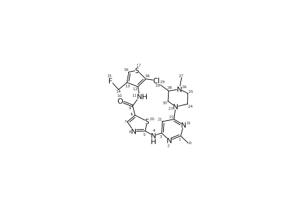 Cc1nc(Nc2ncc(C(=O)Nc3c(CF)csc3Cl)s2)cc(N2CCN(C)C(C)C2)n1